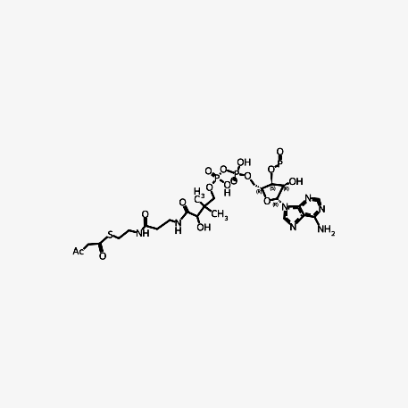 CC(=O)CC(=O)SCCNC(=O)CCNC(=O)C(O)C(C)(C)COP(=O)(O)OP(=O)(O)OC[C@H]1O[C@@H](n2cnc3c(N)ncnc32)[C@H](O)[C@@H]1OP=O